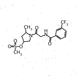 CC1CC(OS(C)(=O)=O)CN1C(=O)CNC(=O)c1cccc(C(F)(F)F)c1